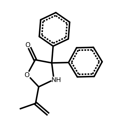 C=C(C)C1NC(c2ccccc2)(c2ccccc2)C(=O)O1